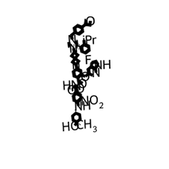 CC(C)c1ccccc1[C@@H]1CN(Cc2ccc(C3COC3)cc2)CCN1C1CC2(C1)CN(c1ccc(C(=O)NS(=O)(=O)c3ccc(NC[C@H]4CC[C@](C)(O)CC4)c([N+](=O)[O-])c3)c(Oc3cnc4[nH]cc(F)c4c3)c1)C2